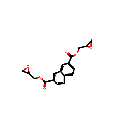 O=C(OCC1CO1)c1ccc2ccc(C(=O)OCC3CO3)cc2c1